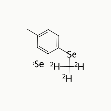 [2H]C([2H])([2H])[Se]c1ccc(C)cc1.[Se]